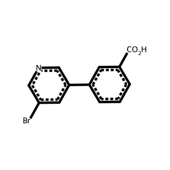 O=C(O)c1cccc(-c2cncc(Br)c2)c1